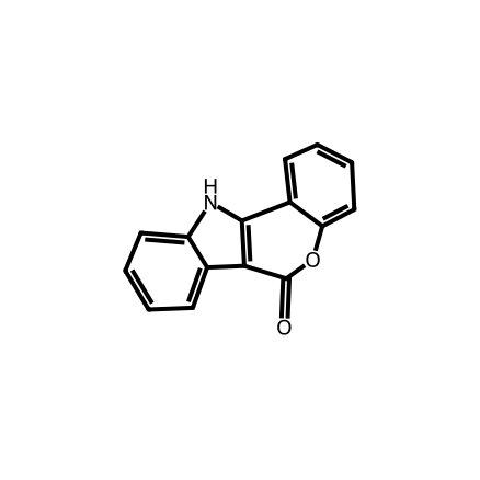 O=c1oc2ccccc2c2[nH]c3ccccc3c12